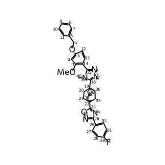 COc1cc(OCc2ccccc2)ccc1-c1nnc(C23CCC(c4nc(-c5ccc(F)cc5)no4)(CC2)CC3)n1C